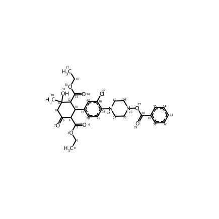 CCOC(=O)C1C(=O)CC(C)(O)C(C(=O)OCC)C1c1ccc(N2CCN(OC(=O)c3ccccc3)CC2)c(Cl)c1